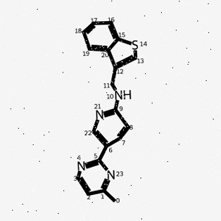 Cc1ccnc(-c2ccc(NCc3csc4ccccc34)nc2)n1